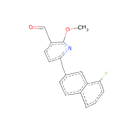 COc1nc(-c2ccc3cccc(F)c3c2)ccc1C=O